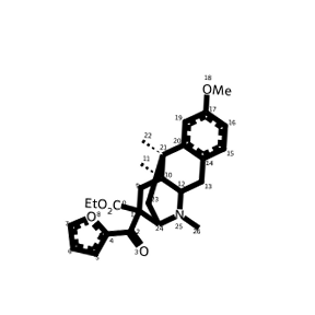 CCOC(=O)C1(C(=O)c2ccco2)C[C@]2(C)C3Cc4ccc(OC)cc4[C@]2(C)CC1N3C